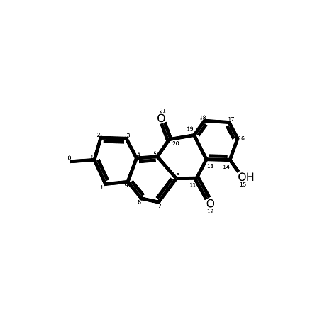 Cc1ccc2c3c(ccc2c1)C(=O)c1c(O)cccc1C3=O